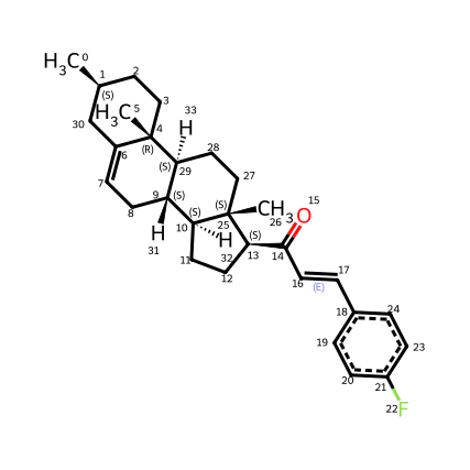 C[C@H]1CC[C@@]2(C)C(=CC[C@H]3[C@@H]4CC[C@H](C(=O)/C=C/c5ccc(F)cc5)[C@@]4(C)CC[C@@H]32)C1